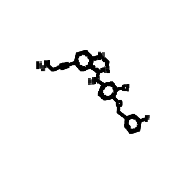 NCC#Cc1ccc2ncnc(Nc3ccc(OCc4cccc(F)c4)c(Cl)c3)c2c1